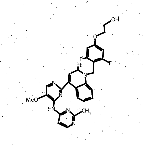 CCC1C=C(c2ncc(OC)c(Nc3ccnc(C)n3)n2)c2ccccc2N1Cc1c(F)cc(OCCO)cc1F